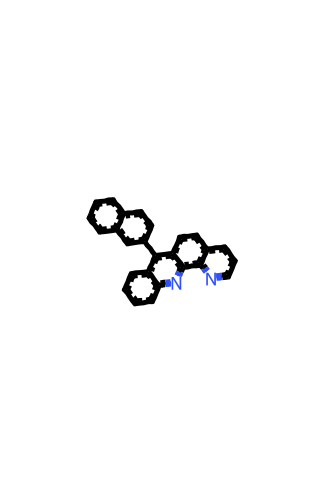 c1ccc2cc(-c3c4ccccc4nc4c3ccc3cccnc34)ccc2c1